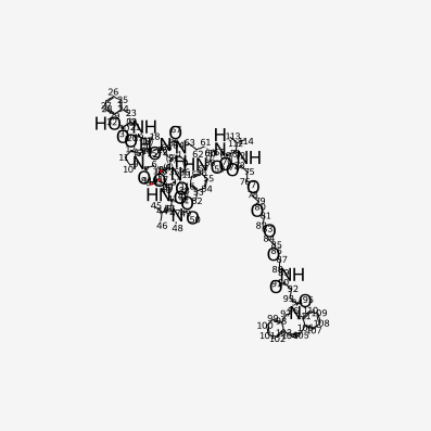 CC[C@H](C)[C@@H]([C@@H](CC(=O)N1CCC[C@H]1[C@H](OC)[C@@H](C)C(=O)N[C@@H](Cc1ccccc1)C(=O)O)OC)N(C)C(=O)[C@@H](NC(=O)[C@H](C(C)C)N(C)C(=O)OCc1ccc(NC(=O)[C@H](CCCNC(N)=O)NC(=O)[C@@H](NC(=O)CCOCCOCCOCCOCCNC(=O)CCC(=O)N2Cc3ccccc3C#Cc3ccccc32)C(C)C)cc1)C(C)C